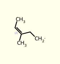 [CH2]C/C(C)=C\C